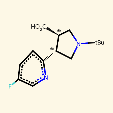 CC(C)(C)N1C[C@H](C(=O)O)[C@@H](c2ccc(F)cn2)C1